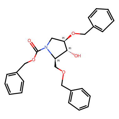 O=C(OCc1ccccc1)N1C[C@@H](OCc2ccccc2)[C@H](O)[C@H]1COCc1ccccc1